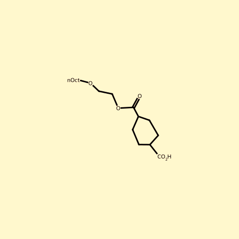 CCCCCCCCOCCOC(=O)C1CCC(C(=O)O)CC1